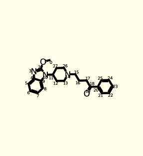 COc1nc2ccccc2n1C1CCN(CCCC(=O)c2ccccc2)CC1